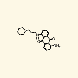 Nc1cccc2c1C(=O)c1cccc(NCCCN3CCCCC3)c1C2=O